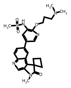 CN(C)CCCOc1ncc(-c2ccc3ncc4c(c3c2)C2(CCC2)C(=O)N4C)cc1NS(C)(=O)=O